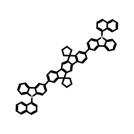 c1ccc2c(-n3c4ccccc4c4cc(-c5ccc6c(c5)C5(CCCC5)c5cc7c(cc5-6)C5(CCCC5)c5cc(-c6ccc8c(c6)c6ccccc6n8-c6cccc8ccccc68)ccc5-7)ccc43)cccc2c1